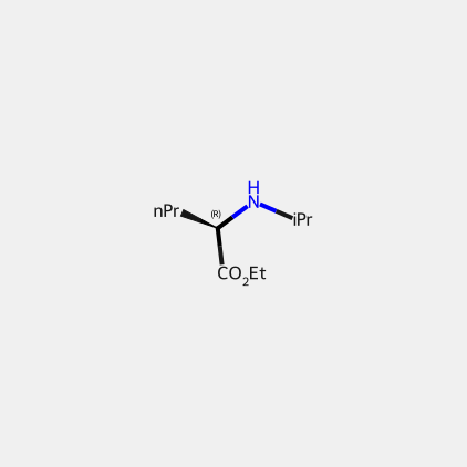 CCC[C@@H](NC(C)C)C(=O)OCC